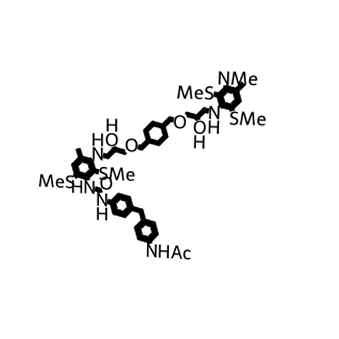 CNc1c(C)cc(SC)c(NCC(O)COCC2CCC(COCC(O)CNc3c(C)cc(SC)c(NC(=O)Nc4ccc(Cc5ccc(NC(C)=O)cc5)cc4)c3SC)CC2)c1SC